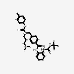 Cc1ccc(NC(=O)N(CCCN(C)C)Cc2ccc(C(=O)Nc3ccccc3NC(=O)OC(C)(C)C)cc2)cc1